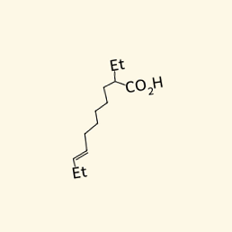 CCC=CCCCCCC(CC)C(=O)O